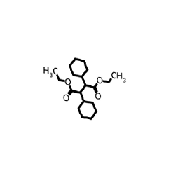 CCOC(=O)C(C1CCCCC1)C(C(=O)OCC)C1CCCCC1